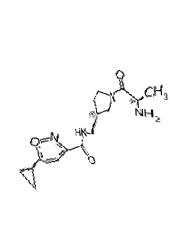 C[C@@H](N)C(=O)N1CC[C@H](CNC(=O)c2cc(C3CC3)on2)C1